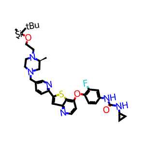 C[C@H]1CN(Cc2ccc(-c3cc4nccc(Oc5ccc(NC(=O)NC6CC6)cc5F)c4s3)nc2)CCN1CCO[Si](C)(C)C(C)(C)C